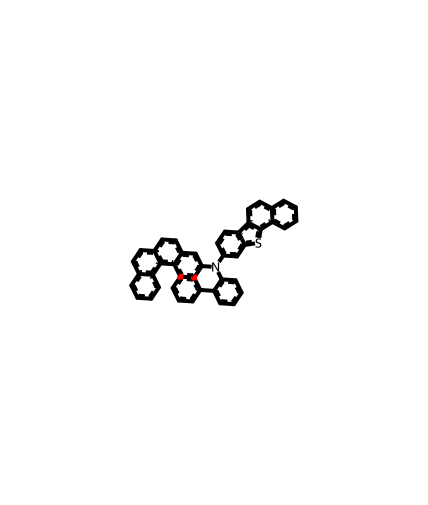 c1ccc(-c2ccccc2N(c2ccc3c(ccc4ccc5ccccc5c43)c2)c2ccc3c(c2)sc2c4ccccc4ccc32)cc1